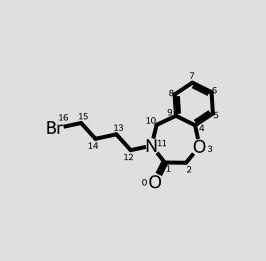 O=C1COc2ccccc2CN1CCCCBr